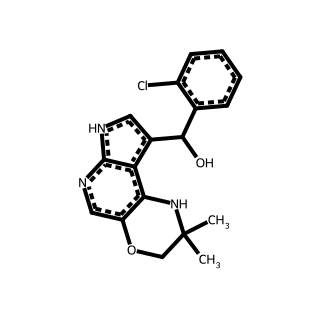 CC1(C)COc2cnc3[nH]cc(C(O)c4ccccc4Cl)c3c2N1